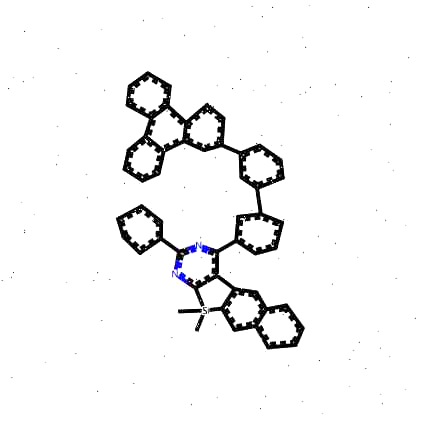 C[Si]1(C)c2cc3ccccc3cc2-c2c(-c3cccc(-c4cccc(-c5ccc6c7ccccc7c7ccccc7c6c5)c4)c3)nc(-c3ccccc3)nc21